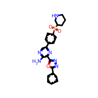 Nc1ncc(-c2ccc(S(=O)(=O)C3CCCNC3)cc2)nc1-c1nnc(-c2ccccc2)o1